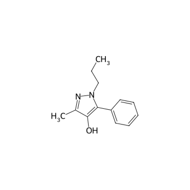 CCCn1nc(C)c(O)c1-c1ccccc1